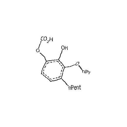 CCCCCc1ccc(OC(=O)O)c(O)c1OCCC